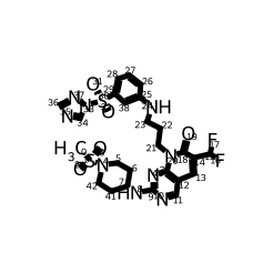 CS(=O)(=O)N1CCC(Nc2ncc3cc(C(F)F)c(=O)n(CCCNc4cccc(S(=O)(=O)n5cncn5)c4)c3n2)CC1